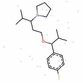 CC(C)C(OCCC(C(C)C)N1CCCC1)c1ccc(F)cc1